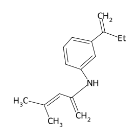 C=C(C=C(C)C)Nc1cccc(C(=C)CC)c1